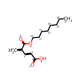 C=C(C=CC(=O)O)C(=O)OCCCCCCCC